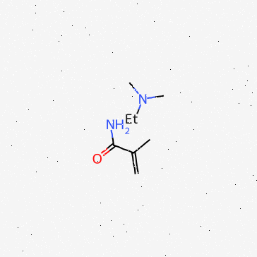 C=C(C)C(N)=O.CCN(C)C